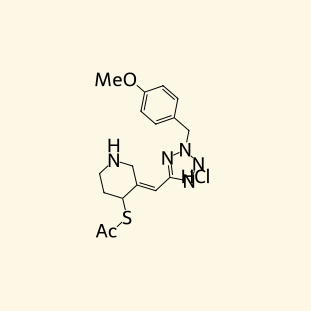 COc1ccc(Cn2nnc(C=C3CNCCC3SC(C)=O)n2)cc1.Cl